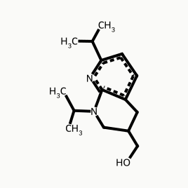 CC(C)c1ccc2c(n1)N(C(C)C)CC(CO)C2